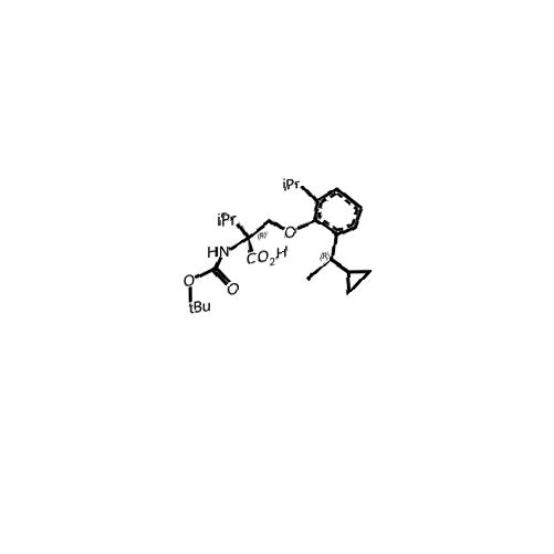 CC(C)c1cccc([C@H](C)C2CC2)c1OC[C@@](NC(=O)OC(C)(C)C)(C(=O)O)C(C)C